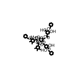 CO[C@@H]1OC(COC(=O)c2cc(O)c(OCc3ccccc3)c(O)c2)[C@@H](OC(=O)c2cc(O)c(OCc3ccccc3)c(O)c2)[C@H](OC(=O)c2cc(C)c(C)c(C)c2)C1OC(=O)c1cc(C)c(C)c(OCc2ccccc2)c1